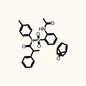 CC(=O)Nc1ccccc1S(=O)(=O)N(C(=O)C(C)c1ccccc1)c1ccc(C)cc1.O=C1C2=CC=C1C=C2